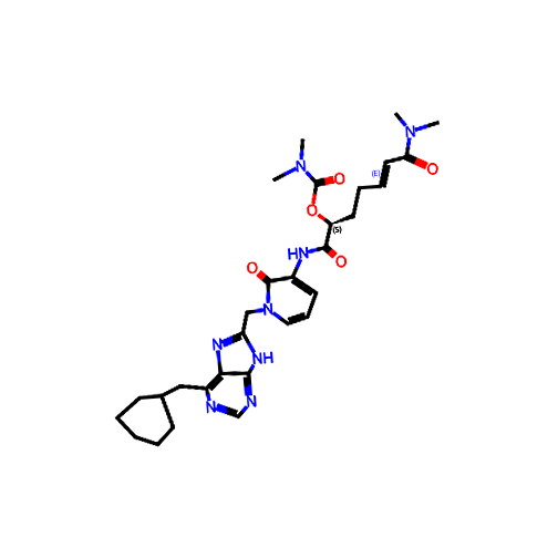 CN(C)C(=O)/C=C/CC[C@H](OC(=O)N(C)C)C(=O)Nc1cccn(Cc2nc3c(CC4CCCCC4)ncnc3[nH]2)c1=O